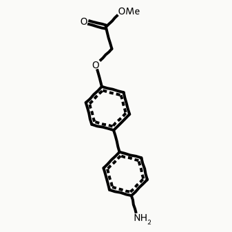 COC(=O)COc1ccc(-c2ccc(N)cc2)cc1